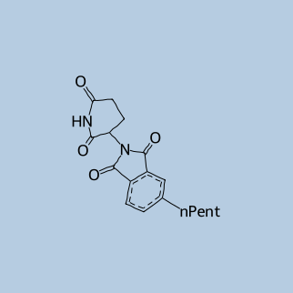 CCCCCc1ccc2c(c1)C(=O)N(C1CCC(=O)NC1=O)C2=O